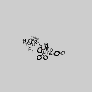 CC1(C)OB(CCCCC(NC(c2ccccc2)(c2ccccc2)c2ccccc2)c2nnnn2CC(=O)Nc2ccc(Cl)cc2)OC1(C)C